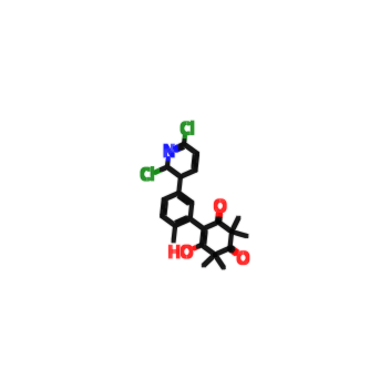 Cc1ccc(C2C=CC(Cl)=NC2Cl)cc1C1=C(O)C(C)(C)C(=O)C(C)(C)C1=O